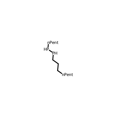 CCCCCCCCPPCCCCC